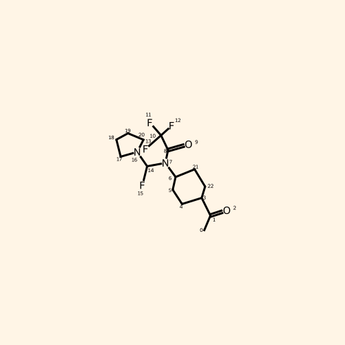 CC(=O)C1CCC(N(C(=O)C(F)(F)F)C(F)N2CCCC2)CC1